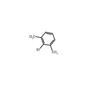 [CH2]Cc1c(C(Cl)(Cl)Cl)cccc1C(Cl)(Cl)Cl